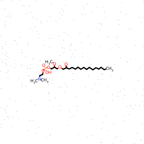 CCCCCCCCCCCCCCC(=O)COCC(COP(=O)(O)OCCN(C)C)OC